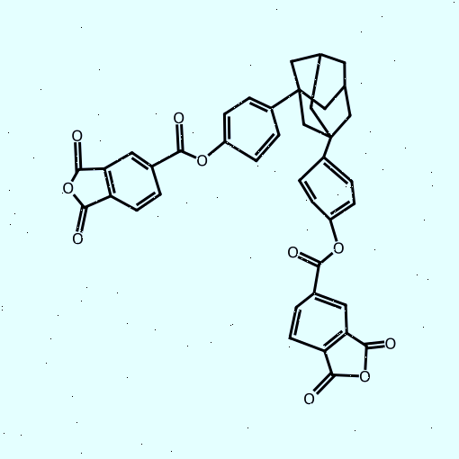 O=C(Oc1ccc(C23CC4CC(C2)CC(c2ccc(OC(=O)c5ccc6c(c5)C(=O)OC6=O)cc2)(C4)C3)cc1)c1ccc2c(c1)C(=O)OC2=O